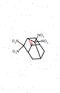 O=C1C2CC3CC1C([N+](=O)[O-])([N+](=O)[O-])C(C2)C3([N+](=O)[O-])[N+](=O)[O-]